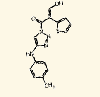 Cc1ccc(Nc2cn(C(=O)C(=CO)c3cccs3)nn2)cc1